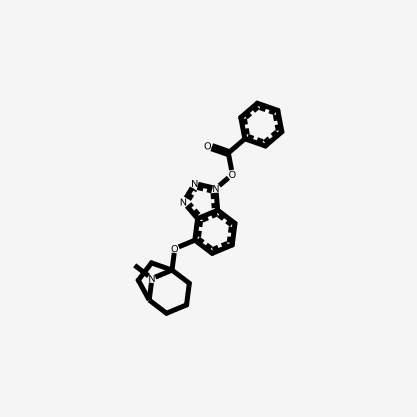 CN1C2CCCC1(Oc1cccc3c1nnn3OC(=O)c1ccccc1)CC2